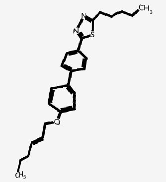 CCCC=CCOc1ccc(-c2ccc(-c3nnc(CCCCC)s3)cc2)cc1